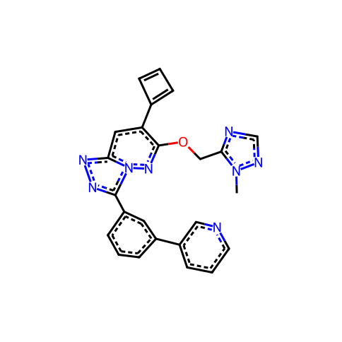 Cn1ncnc1COc1nn2c(-c3cccc(-c4cccnc4)c3)nnc2cc1C1=CC=C1